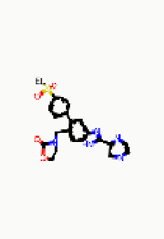 CCS(=O)(=O)c1ccc(-c2cc3nc(-c4cnccn4)[nH]c3cc2CN2CCOC2=O)cc1